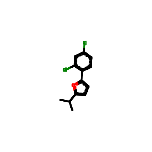 CC(C)c1ccc(-c2ccc(Cl)cc2Cl)o1